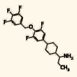 CCC(N)C1CCC(c2cc(F)c(OCc3cc(F)c(F)c(F)c3)c(F)c2)CC1